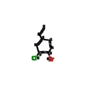 C=[C]c1ccc(Br)c(Cl)c1